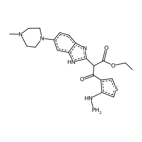 CCOC(=O)C(C(=O)c1cscc1NP)c1nc2ccc(N3CCN(C)CC3)cc2[nH]1